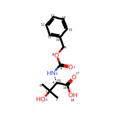 CC(C)(O)[C@H](NC(=O)OCc1ccccc1)C(=O)O